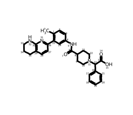 Cc1ccc(NC(=O)C2CCN(C(C(=O)O)c3ccccc3)CC2)cc1-c1ccc2c(n1)NCCC2